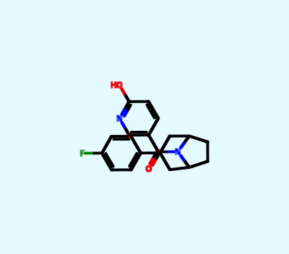 O=C(c1ccc(O)nc1)N1C2CCC1CC(c1ccc(F)cc1)C2